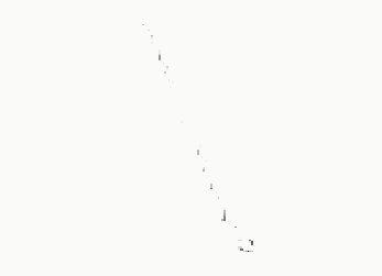 NCCCCCCCCCCCSSCCCCCCCCCCC(=O)NCC1C=CC=C1